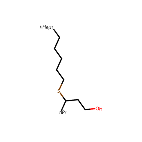 CCCCCCCCCCCCSC(CCC)CCO